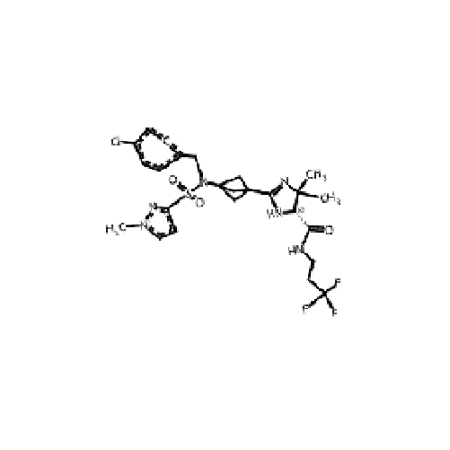 Cn1ccc(S(=O)(=O)N(Cc2ccc(Cl)cc2)C23CC(C4=NC(C)(C)[C@H](C(=O)NCCC(F)(F)F)N4)(C2)C3)n1